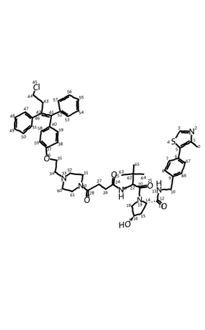 Cc1ncsc1-c1ccc(CNC(=O)[C@@H]2C[C@@H](O)CN2C(=O)C(NC(=O)CCC(=O)N2CCN(CCOc3ccc(/C(=C(/CCCl)c4ccccc4)c4ccccc4)cc3)CC2)C(C)(C)C)cc1